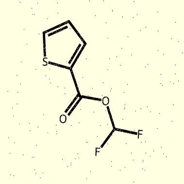 O=C(OC(F)F)c1cccs1